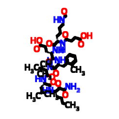 CCCC[C@H](NC(=O)[C@H](CC(C)C)NC(=O)[C@@H](NC(=O)[C@H](Cc1ccccc1C)NC(=O)[C@H](CCC(=O)O)NC(=O)[C@H](CCCCNC=O)NC(=O)CCC(=O)O)C(C)(C)C)C(=O)C(N)=O